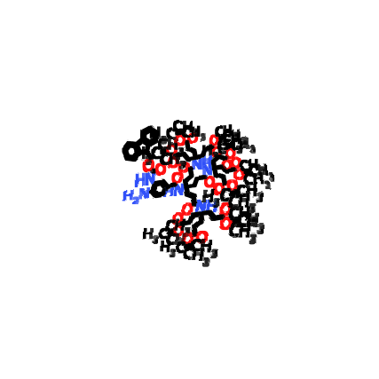 CC(C)(C)OC(=O)CCC(CCC(=O)OC(C)(C)C)(CCC(=O)OC(C)(C)C)NC(=O)CCC(CCC(=O)NC(CCC(=O)OC(C)(C)C)(CCC(=O)OC(C)(C)C)CCC(=O)OC(C)(C)C)(CCC(=O)NC(CCC(=O)OC(C)(C)C)(CCC(=O)OC(C)(C)C)CCC(=O)OC(C)(C)C)NC(=O)c1ccc(N)c(NC(=O)OCC2c3ccccc3-c3ccccc32)c1